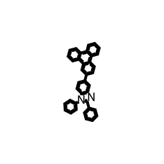 c1ccc(-c2nc3cc(-c4ccc5c6ccccc6c6ccccc6c5c4)ccc3n2-c2ccccc2)cc1